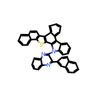 c1ccc2cc(-c3nc4ccccc4nc3-n3c4ccccc4c4c5ccccc5c5c6ccc7ccccc7c6sc5c43)ccc2c1